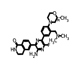 C[C@@H]1CN(c2ccc(-c3nc(-c4ccc5c(c4)CCNC5=O)c(N)nc3F)cc2CN(C)C)CCO1